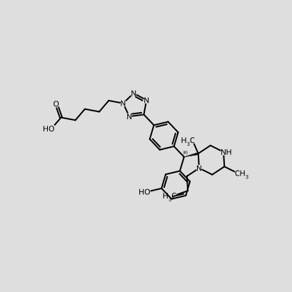 CCCN1CC(C)NCC1(C)[C@H](c1ccc(-c2nnn(CCCCC(=O)O)n2)cc1)c1cccc(O)c1